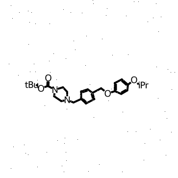 CC(C)Oc1ccc(OCc2ccc(CN3CCN(C(=O)OC(C)(C)C)CC3)cc2)cc1